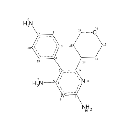 Nc1ccc(-c2c(N)nc(N)nc2C2CCOCC2)cc1